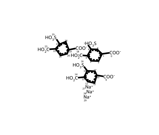 O=C([O-])c1ccc(C(=O)O)c(S(=O)(=O)O)c1.O=C([O-])c1ccc(C(=O)O)c(S(=O)(=O)O)c1.O=C([O-])c1ccc(C(=O)O)c(S(=O)(=O)O)c1.[Na+].[Na+].[Na+]